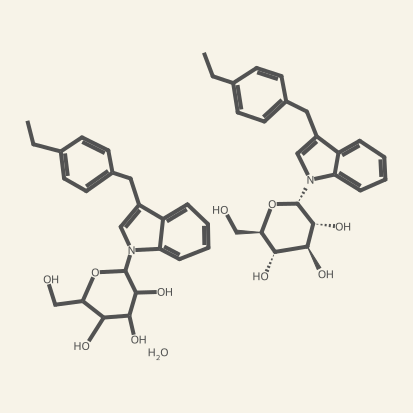 CCc1ccc(Cc2cn(C3OC(CO)C(O)C(O)C3O)c3ccccc23)cc1.CCc1ccc(Cc2cn([C@H]3O[C@H](CO)[C@@H](O)[C@H](O)[C@H]3O)c3ccccc23)cc1.O